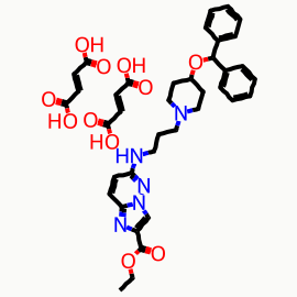 CCOC(=O)c1cn2nc(NCCCN3CCC(OC(c4ccccc4)c4ccccc4)CC3)ccc2n1.O=C(O)C=CC(=O)O.O=C(O)C=CC(=O)O